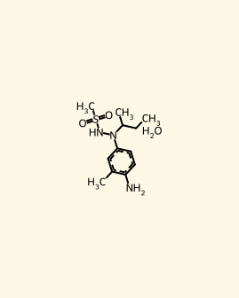 CCC(C)N(NS(C)(=O)=O)c1ccc(N)c(C)c1.O